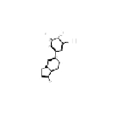 CC1=CC(C2=CC3CCC(Cl)C3CC2)=CC(C)C1O